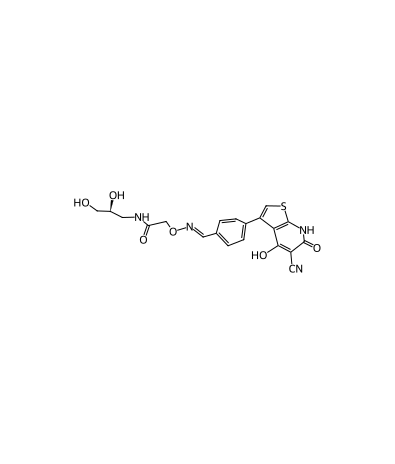 N#Cc1c(O)c2c(-c3ccc(/C=N/OCC(=O)NC[C@H](O)CO)cc3)csc2[nH]c1=O